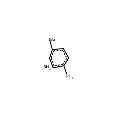 B.CC(C)(C)c1ccc(P)cc1